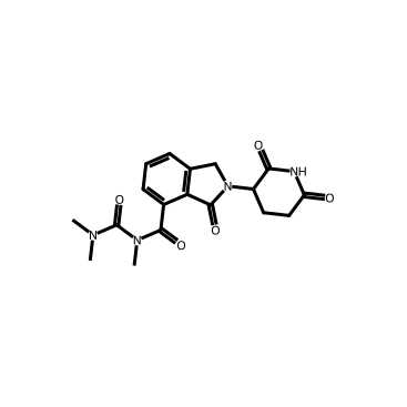 CN(C)C(=O)N(C)C(=O)c1cccc2c1C(=O)N(C1CCC(=O)NC1=O)C2